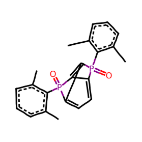 Cc1cccc(C)c1P1(=O)C2=CC=C3C1=C2P3(=O)c1c(C)cccc1C